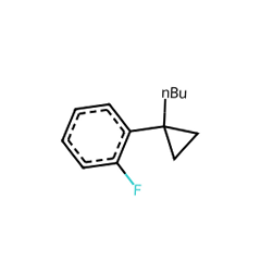 CCCCC1(c2ccccc2F)CC1